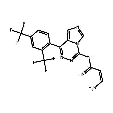 N=C(/C=C\N)Nc1nnc(-c2ccc(C(F)(F)F)cc2C(F)(F)F)c2cncn12